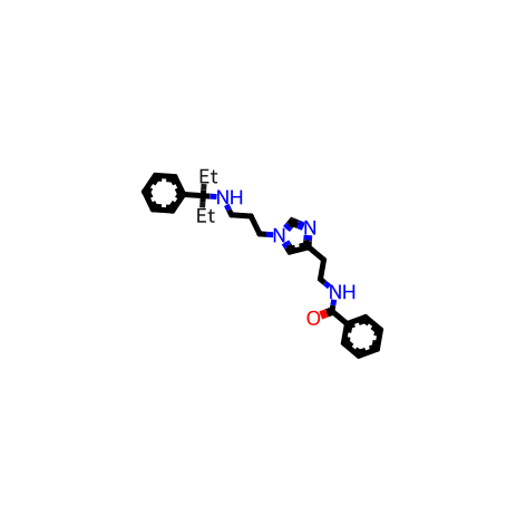 CCC(CC)(NCCCn1cnc(CCNC(=O)c2ccccc2)c1)c1ccccc1